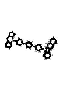 c1ccc2c(c1)CC1CCCC1N2c1ccc(-c2ccc(-c3ccc(-n4c5ccccc5c5cc6ccccc6cc54)cc3)cc2)cc1